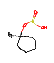 CCC1(OS(=O)O)CCCC1